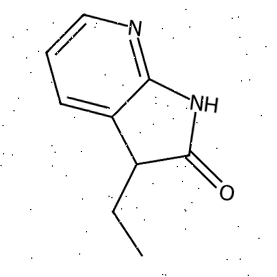 CCC1C(=O)Nc2ncccc21